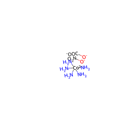 O=C([O-])[O-].O=[N+]([O-])[O-].[NH2][Co-2]([NH2])([NH2])([NH2])[NH2]